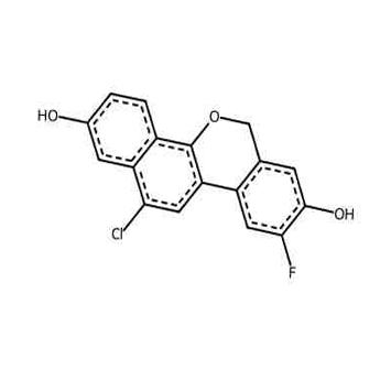 Oc1ccc2c3c(cc(Cl)c2c1)-c1cc(F)c(O)cc1CO3